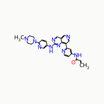 C=CC(=O)Nc1ccnc(-c2cncc3cnc(Nc4ccc(N5CCN(C)CC5)nc4)nc23)c1